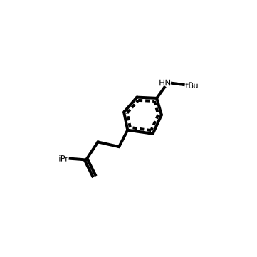 C=C(CCc1ccc(NC(C)(C)C)cc1)C(C)C